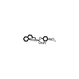 CCCOC(NCc1ccc2ccccc2n1)Oc1ccc([N+](=O)[O-])cc1